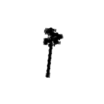 CC[C@@]1(O)C(=O)OCc2c1cc1n(c2=O)Cc2c-1nc1cc(F)c(C)c3c1c2[C@@H](NC(=O)OCc1ccc(O[C@@H]2O[C@H](C(=O)O)[C@@H](O)[C@H](O)[C@H]2O)c(NC(=O)CCNC(=O)[C@H](CCCCNC(=O)CCOCCOCCOCCOCCOCCOCCOCCOCCOCCOCCOCCOC)NC(=O)OCC2c4ccccc4-c4ccccc42)c1)CC3